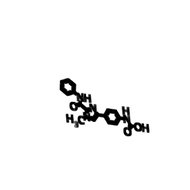 Cn1cc(-c2ccc(NC(=O)O)cc2)nc1C(=O)Nc1ccccc1